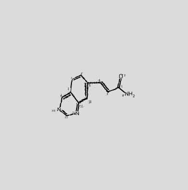 NC(=O)C=Cc1ccc2cncnc2c1